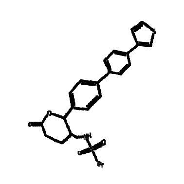 CC(C)S(=O)(=O)NC1CCC(=O)OC1c1ccc(-c2ccc(-c3ccsc3)cc2)cc1